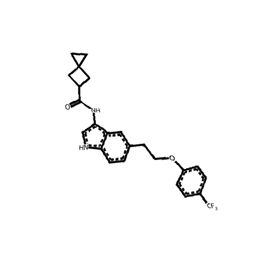 O=C(Nc1c[nH]c2ccc(CCOc3ccc(C(F)(F)F)cc3)cc12)C1CC2(CC2)C1